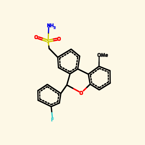 COc1cccc2c1-c1ccc(CS(N)(=O)=O)cc1C(c1cccc(F)c1)O2